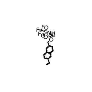 C=Cc1ccc2cc(COS(=O)(=O)NS(=O)(=O)C(F)(F)F)ccc2c1